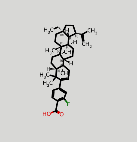 C=C(C)[C@@H]1CC[C@]2(CC)CC[C@]3(C)[C@H](CC[C@@H]4[C@@]5(C)CC=C(c6ccc(C(=O)O)c(F)c6)C(C)(C)[C@@H]5CC[C@]43C)[C@@H]12